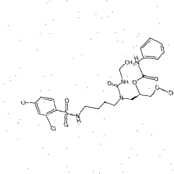 CCNC(=O)N(CCCCNS(=O)(=O)c1ccc(Cl)cc1Cl)C[C@H](COC)OC(=O)Nc1ccccc1